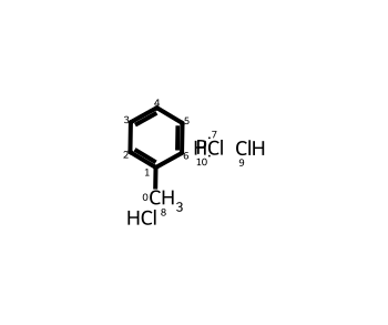 Cc1ccccc1.Cl.Cl.Cl.[P]